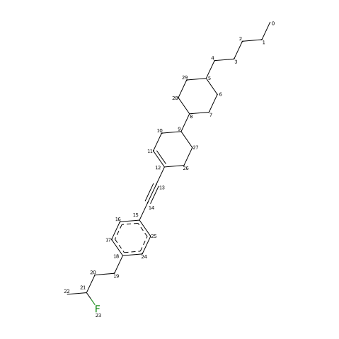 CCCCCC1CCC(C2CC=C(C#Cc3ccc(CCC(C)F)cc3)CC2)CC1